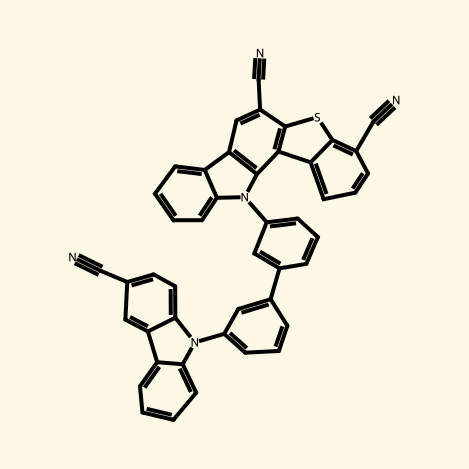 N#Cc1ccc2c(c1)c1ccccc1n2-c1cccc(-c2cccc(-n3c4ccccc4c4cc(C#N)c5sc6c(C#N)cccc6c5c43)c2)c1